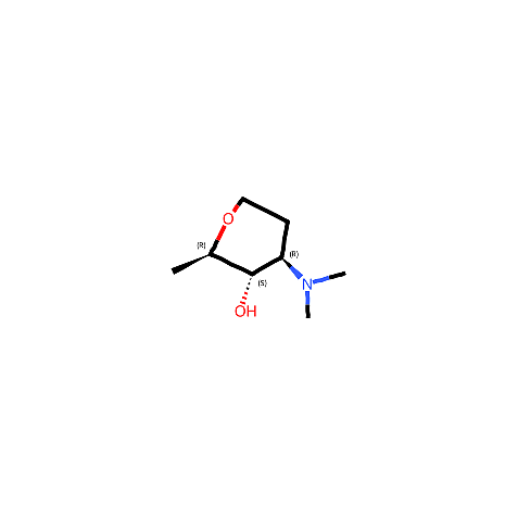 C[C@H]1OCC[C@@H](N(C)C)[C@@H]1O